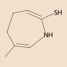 CC1=CNC(S)=CCC1